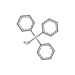 NS(c1ccccc1)(c1ccccc1)c1ccccc1